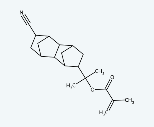 C=C(C)C(=O)OC(C)(C)C1CC2CC1C1C3CC(C#N)C(C3)C21